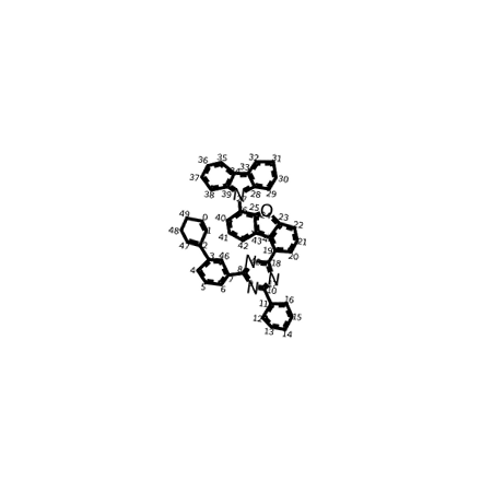 C1=CC(c2cccc(-c3nc(-c4ccccc4)nc(-c4cccc5oc6c(-n7c8ccccc8c8ccccc87)cccc6c45)n3)c2)=CCC1